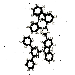 c1ccc(-c2cc(-c3ccccc3)nc(-n3c4ccccc4c4ccc(-c5nnc(-c6cccc7c8ccccc8n(-c8ccccc8)c67)s5)cc43)n2)cc1